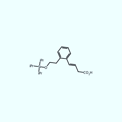 CC(C)[Si](OCCc1ccccc1C=CCC(=O)O)(C(C)C)C(C)C